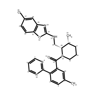 Cc1ccc(-c2ncccn2)c(C(=O)N2CCC[C@@H](C)[C@H]2CNc2nc3cc(Cl)ccc3o2)c1